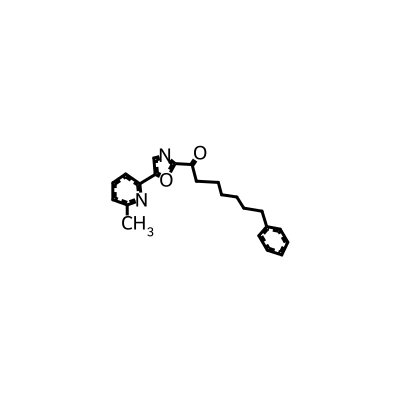 Cc1cccc(-c2cnc(C(=O)CCCCCCc3ccccc3)o2)n1